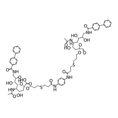 CC(=O)N[C@H]1[C@H]([C@H](O)[C@H](O)CNC(=O)c2ccc(-c3ccccc3)cc2)O[C@](C=O)(OCCCSCCC(=O)Nc2ccc(NC(=O)CCSCCCO[C@]3(C(=O)O)C[C@H](O)[C@@H](NC(C)=O)[C@H]([C@H](O)[C@H](O)CNC(=O)c4ccc(-c5ccccc5)cc4)O3)cc2)C[C@@H]1O